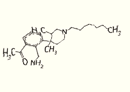 CCCCCCN1CCC(C)(c2cccc(C(C)=O)c2CN)C(C)C1